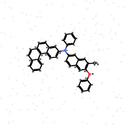 Cc1cc2cc(N(c3ccccc3)c3ccc4c(ccc5ccc6ccccc6c54)c3)ccc2cc1Oc1ccccc1